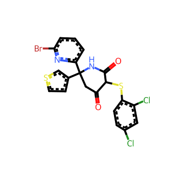 O=C1CC(c2ccsc2)(c2cccc(Br)n2)NC(=O)C1Sc1ccc(Cl)cc1Cl